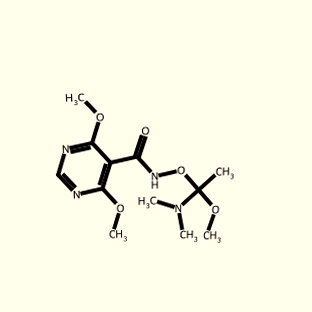 COc1ncnc(OC)c1C(=O)NOC(C)(OC)N(C)C